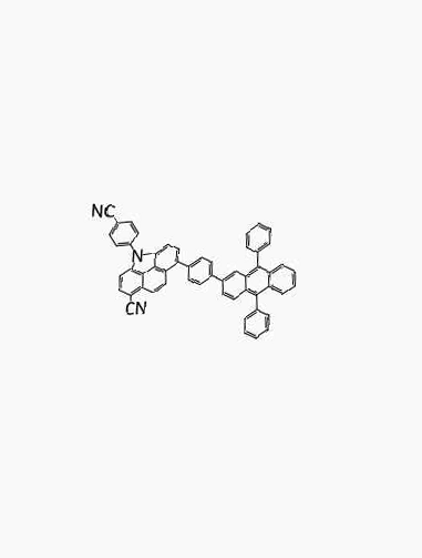 N#Cc1ccc(-n2c3ccc(C#N)c4ccc5c(-c6ccc(-c7ccc8c(-c9ccccc9)c9ccccc9c(-c9ccccc9)c8c7)cc6)ccc2c5c43)cc1